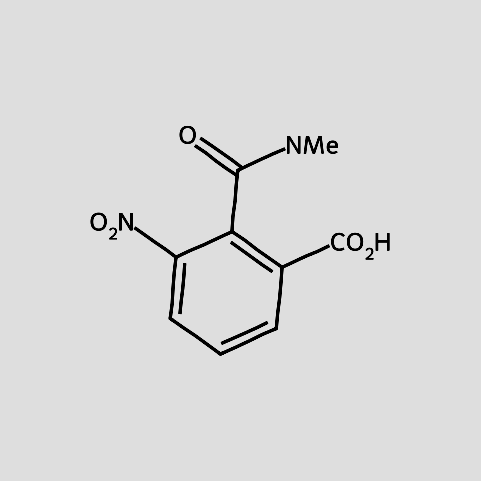 CNC(=O)c1c(C(=O)O)cccc1[N+](=O)[O-]